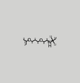 CC(C)OCCCOCCNC(C)(C)C